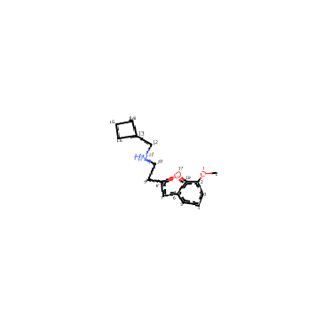 COc1cccc2cc(CCNCC3CCC3)oc12